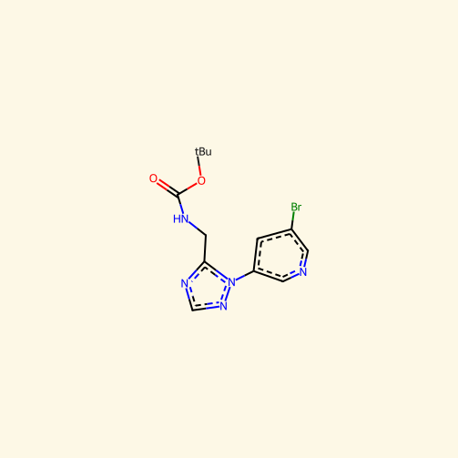 CC(C)(C)OC(=O)NCc1ncnn1-c1cncc(Br)c1